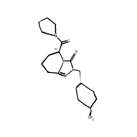 O=C([C@@H]1CCCc2nn(C[C@H]3CC[C@H](C(F)(F)F)CC3)c(=O)n21)N1CCCC1